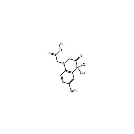 COc1ccc2c(c1)[N+]([O-])(O)C(=O)CN2CC(=O)OC(C)(C)C